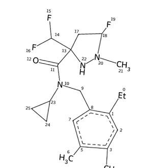 CCc1cc(C)c(C)cc1CN(C(=O)C1(C(F)F)CC(F)N(C)N1)C1CC1